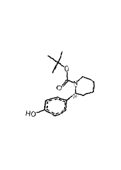 CC(C)(C)OC(=O)N1CCCC[C@H]1c1ccc(O)cc1